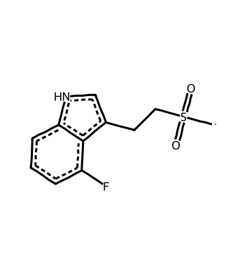 [CH2]S(=O)(=O)CCc1c[nH]c2cccc(F)c12